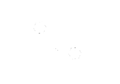 CC(CCc1ccc(O)cc1)NC(CO)c1ccc(O)cc1